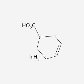 O=C(O)C1CC=CCC1.[InH3]